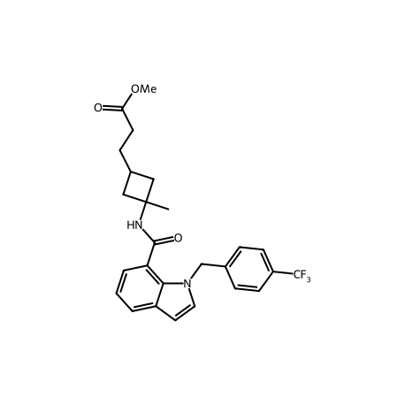 COC(=O)CCC1CC(C)(NC(=O)c2cccc3ccn(Cc4ccc(C(F)(F)F)cc4)c23)C1